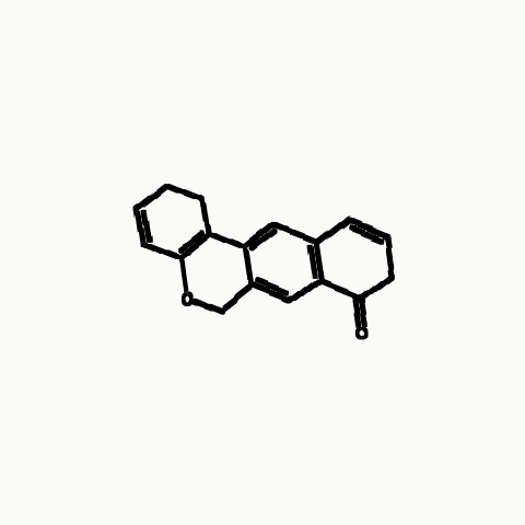 O=C1CC=Cc2cc3c(cc21)COC1=C3CCC=C1